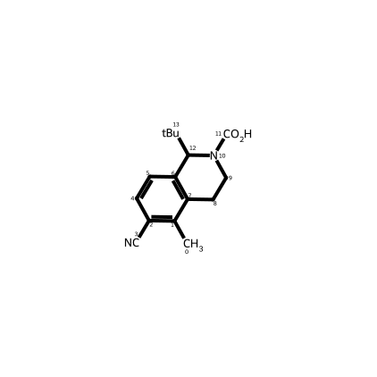 Cc1c(C#N)ccc2c1CCN(C(=O)O)C2C(C)(C)C